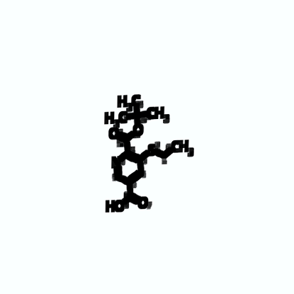 CCSc1cc(C(=O)O)cnc1C(=O)OC(C)(C)C